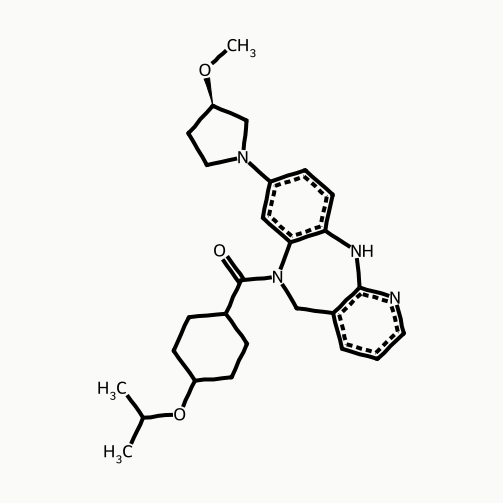 CO[C@@H]1CCN(c2ccc3c(c2)N(C(=O)C2CCC(OC(C)C)CC2)Cc2cccnc2N3)C1